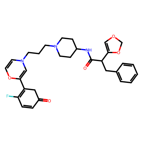 O=C1C=CC(F)=C(C2=CN(CCCN3CCC(NC(=O)C(Cc4ccccc4)C4=COCO4)CC3)C=CO2)C1